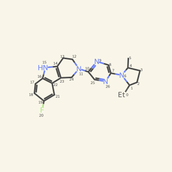 CCC1CCC(C)N1c1cnc(N2CCc3[nH]c4ccc(F)cc4c3C2)cn1